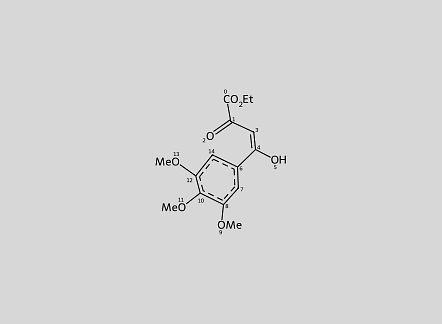 CCOC(=O)C(=O)/C=C(/O)c1cc(OC)c(OC)c(OC)c1